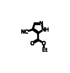 CCOC(=O)c1[nH]ncc1C#N